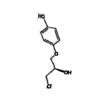 Oc1ccc(OC[C@@H](O)CCl)cc1